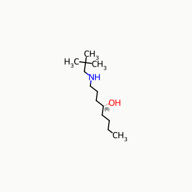 CCCC[C@@H](O)CCCNCC(C)(C)C